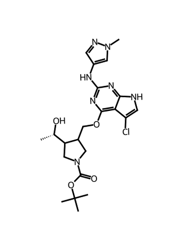 C[C@H](O)C1CN(C(=O)OC(C)(C)C)CC1COc1nc(Nc2cnn(C)c2)nc2[nH]cc(Cl)c12